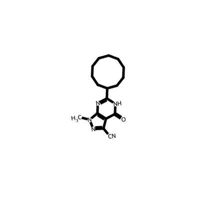 Cn1nc(C#N)c2c(=O)[nH]c(C3CCCCCCCCC3)nc21